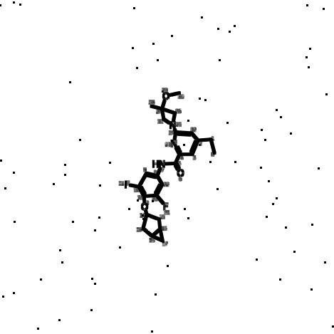 CCc1cc(C(=O)Nc2cc(F)c(OC3CC4CC4C3)c(F)c2)nc(N2CC(C)(OC)C2)c1